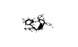 N#CC(=Cc1cc(C(F)(F)F)cc(C(F)(F)F)c1)c1ccccn1